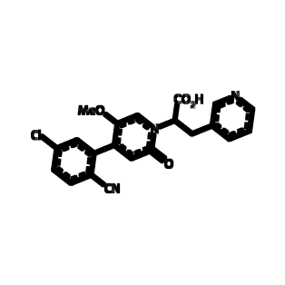 COc1cn(C(Cc2cccnc2)C(=O)O)c(=O)cc1-c1cc(Cl)ccc1C#N